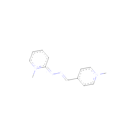 Cn1cccc/c1=N\N=C\c1cc[n+](C)cc1